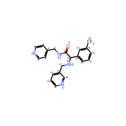 O=C(NCc1ccncc1)C(NCc1cccnc1)c1cccc(C(F)(F)F)c1